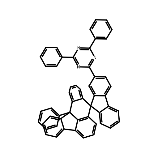 c1ccc(-c2nc(-c3ccccc3)nc(-c3ccc4c(c3)C3(c5ccccc5-4)c4ccccc4C4(c5ccccc5)c5ccccc5-c5cccc3c54)n2)cc1